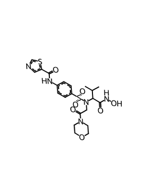 CC(C)C(C(=O)NO)N(CC(=O)N1CCOCC1)S(=O)(=O)c1ccc(NC(=O)c2cncs2)cc1